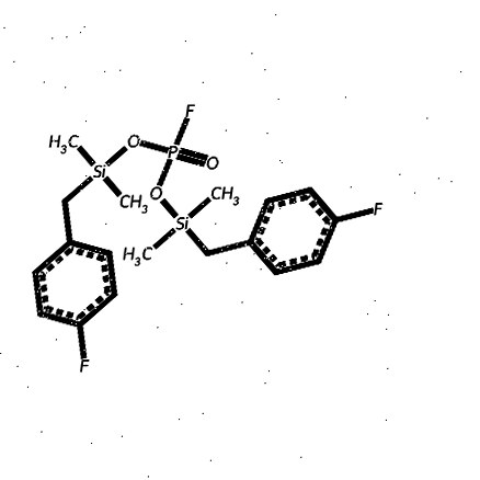 C[Si](C)(Cc1ccc(F)cc1)OP(=O)(F)O[Si](C)(C)Cc1ccc(F)cc1